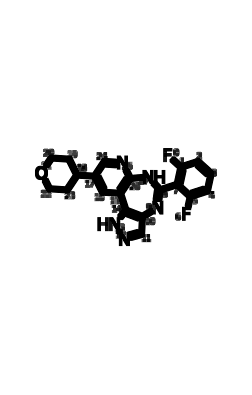 Fc1cccc(F)c1C1=Nc2cn[nH]c2-c2cc(C3CCOCC3)cnc2N1